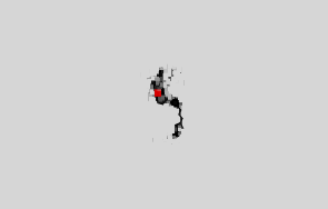 CCCCN(OS(=O)(=O)ON1C(=O)N2C[C@@H]1CC[C@H]2c1nnc(CCCC2CN(C(=O)OC(C)(C)C)C2)o1)C(CCC)(CCCC)CCCC